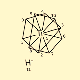 [CH]12[CH]3[CH]4[CH]5[CH]1[Ti]23451678[CH]2[CH]1[CH]6[CH]7[CH]28.[H-]